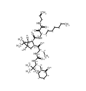 C=CCNC(=O)C(=O)[C@H](CCCCCCC)NC(=O)[C@@H]1[C@@H]2[C@H](CN1C(=O)[C@H](CC)NC(=O)N[C@H](CN1CCCCC1=O)C(C)(C)C)C2(C)C